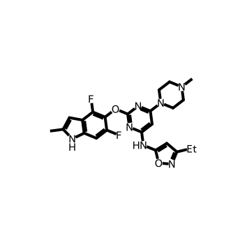 CCc1cc(Nc2cc(N3CCN(C)CC3)nc(Oc3c(F)cc4[nH]c(C)cc4c3F)n2)on1